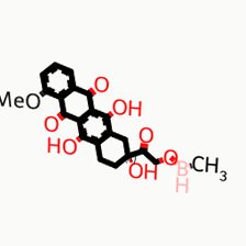 CBOCC(=O)[C@@]1(O)CCc2c(O)c3c(c(O)c2C1)C(=O)c1cccc(OC)c1C3=O